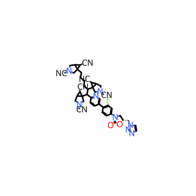 N#CC1C2CN(C#N)CC12CCCCC(C(c1ccc(-c2ccc(N3C[C@H](Cn4ccnn4)OC3=O)cc2F)cn1)C12CN(C#N)CC1C2C#N)C12CN(C#N)CC1C2C#N